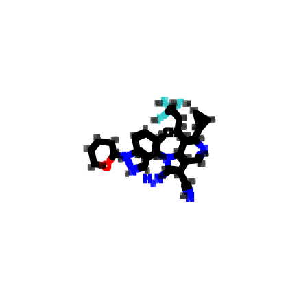 Cc1ccc2c(cnn2C2CCCCO2)c1-n1c(N)c(C#N)c2cnc(C3CC3)c(CCC(F)(F)F)c21